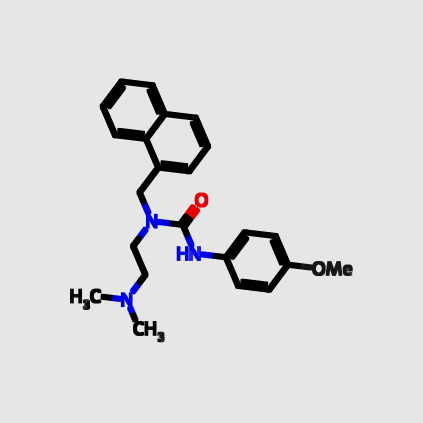 COc1ccc(NC(=O)N(CCN(C)C)Cc2cccc3ccccc23)cc1